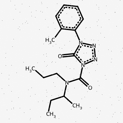 CCCN(C(=O)n1nnn(-c2ccccc2C)c1=O)C(C)CC